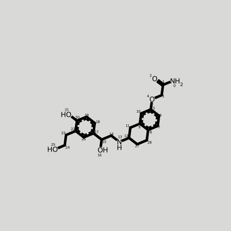 NC(=O)COc1ccc2c(c1)CC(NCC(O)c1ccc(O)c(CCO)c1)CC2